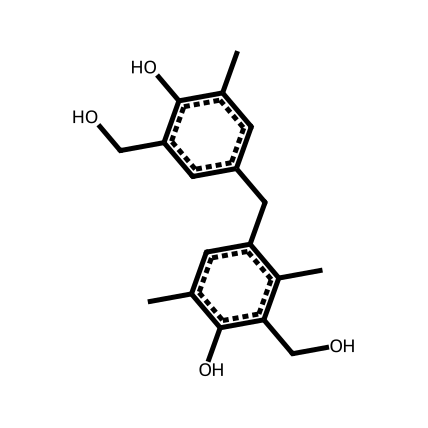 Cc1cc(Cc2cc(C)c(O)c(CO)c2C)cc(CO)c1O